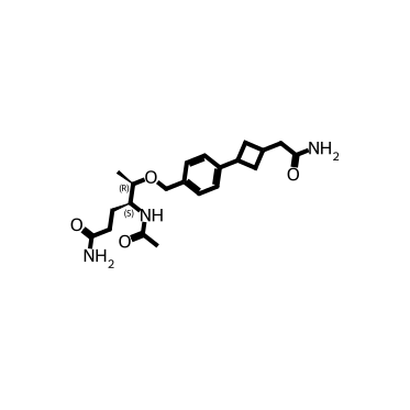 CC(=O)N[C@@H](CCC(N)=O)[C@@H](C)OCc1ccc(C2CC(CC(N)=O)C2)cc1